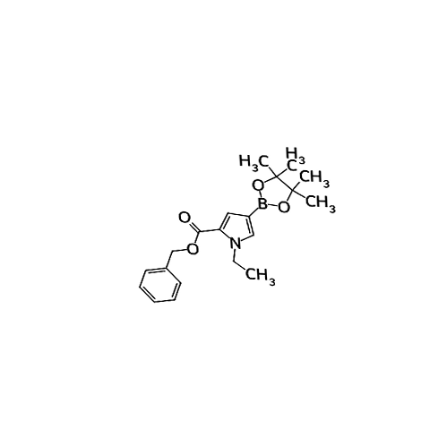 CCn1cc(B2OC(C)(C)C(C)(C)O2)cc1C(=O)OCc1ccccc1